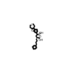 O=C(O)[C@@H](CCCCc1ccccc1)CC(=NO)c1ccc2c3c(oc2c1)CCCCC3